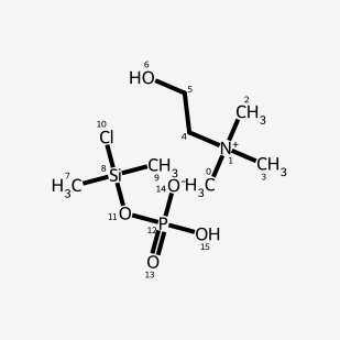 C[N+](C)(C)CCO.C[Si](C)(Cl)OP(=O)([O-])O